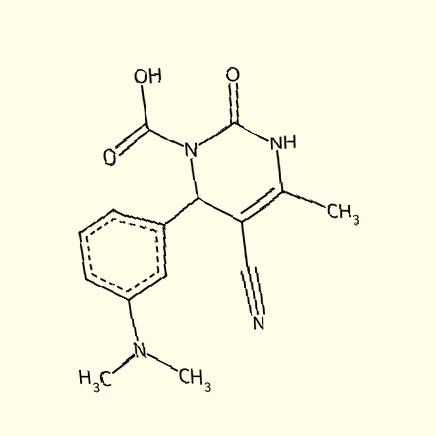 CC1=C(C#N)C(c2cccc(N(C)C)c2)N(C(=O)O)C(=O)N1